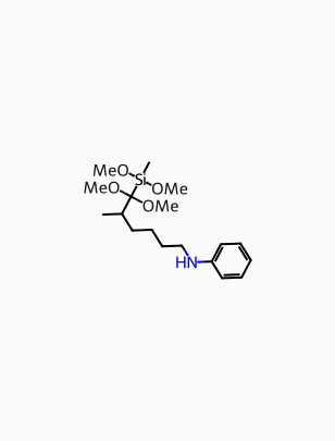 COC(OC)(C(C)CCCCNc1ccccc1)[Si](C)(OC)OC